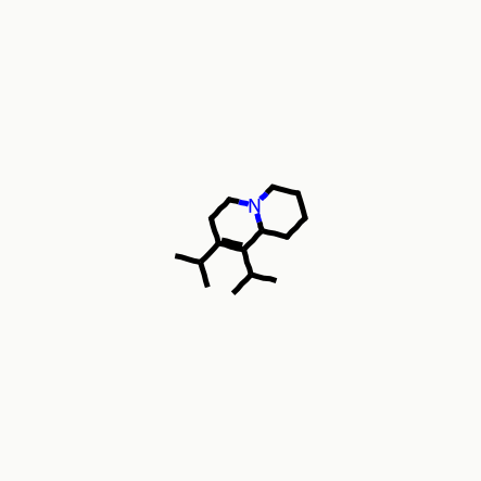 CC(C)C1=C(C(C)C)C2CCCCN2CC1